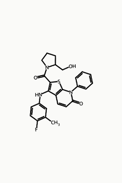 Cc1cc(Nc2c(C(=O)N3CCCC3CO)sc3c2ccc(=O)n3-c2ccccc2)ccc1F